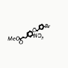 COC(=O)CCc1ccc(OCC2CCC(Br)C2)c([N+](=O)[O-])c1